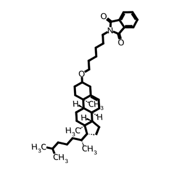 CC(C)CCC[C@@H](C)[C@H]1CC[C@H]2[C@@H]3CC=C4CC(OCCCCCCN5C(=O)c6ccccc6C5=O)CC[C@]4(C)[C@H]3CC[C@]12C